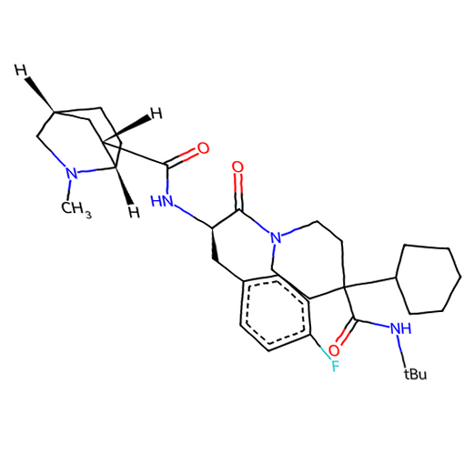 CN1C[C@@H]2CC[C@H]1[C@@H](C(=O)N[C@H](Cc1ccc(F)cc1)C(=O)N1CCC(C(=O)NC(C)(C)C)(C3CCCCC3)CC1)C2